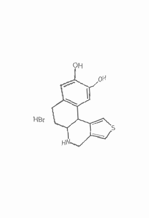 Br.Oc1cc2c(cc1O)C1c3cscc3CNC1CC2